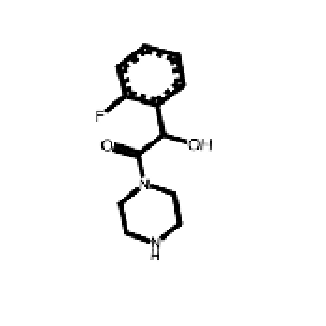 O=C(C(O)c1ccccc1F)N1CCNCC1